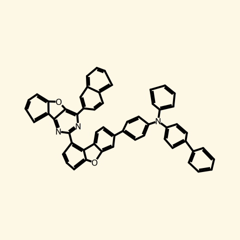 c1ccc(-c2ccc(N(c3ccccc3)c3ccc(-c4ccc5c(c4)oc4cccc(-c6nc(-c7ccc8ccccc8c7)c7oc8ccccc8c7n6)c45)cc3)cc2)cc1